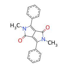 CN1C(=O)C2=C(c3ccccc3)N(C)C(=O)C2=C1c1ccccc1